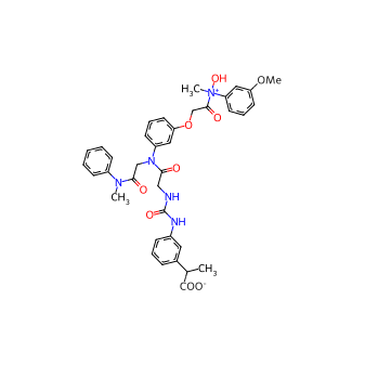 COc1cccc([N+](C)(O)C(=O)COc2cccc(N(CC(=O)N(C)c3ccccc3)C(=O)CNC(=O)Nc3cccc(C(C)C(=O)[O-])c3)c2)c1